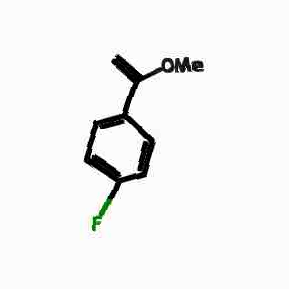 C=C(OC)c1ccc(F)cc1